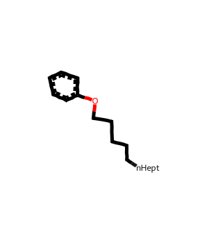 CCCCCCCCCCCCOc1[c]cc[c]c1